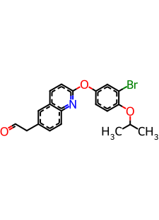 CC(C)Oc1ccc(Oc2ccc3cc(CC=O)ccc3n2)cc1Br